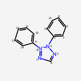 c1ccc(-n2ncn[n+]2-c2ccccc2)cc1